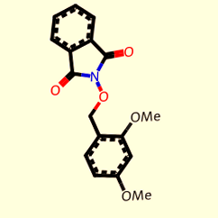 COc1ccc(CON2C(=O)c3ccccc3C2=O)c(OC)c1